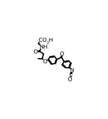 CC(CC(=O)NCC(=O)O)Oc1ccc(C(=O)c2ccc(N=C=O)cc2)cc1